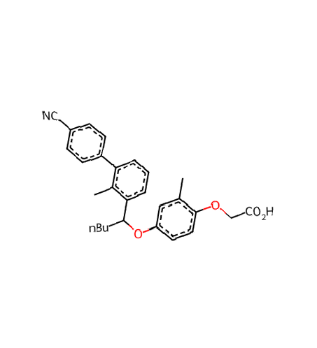 CCCCC(Oc1ccc(OCC(=O)O)c(C)c1)c1cccc(-c2ccc(C#N)cc2)c1C